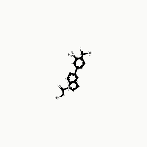 CCC(=O)n1ccc2cc(-c3ccc(C(=O)O)c(C)c3)ccc21